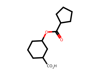 O=C(O)C1CCCC(OC(=O)C2CCCC2)C1